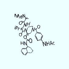 CN[C@@H](C)C(=O)N[C@H](C(=O)N1CCN(C(=O)c2ccc(NC(C)=O)cc2)C[C@@H]1OC(=O)NC1CCCc2ccccc21)C(C)C